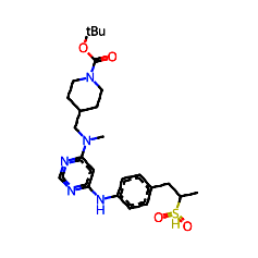 CC(Cc1ccc(Nc2cc(N(C)CC3CCN(C(=O)OC(C)(C)C)CC3)ncn2)cc1)[SH](=O)=O